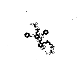 C/C(=C\Cc1c(C2CC(=O)c3c(cc(OCc4ccccc4)c(CCC(C)(C)OCC(=O)O)c3OCc3ccccc3)O2)ccc2c1OCO2)CCCC(C)(C)OCC(=O)O